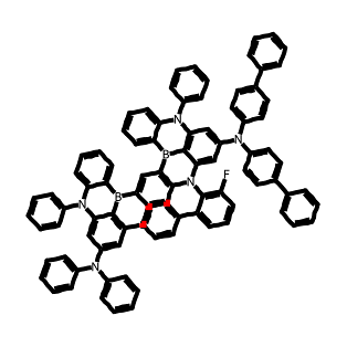 Fc1cccc(-c2ccccc2)c1N1c2cc3c(cc2B2c4ccccc4N(c4ccccc4)c4cc(N(c5ccc(-c6ccccc6)cc5)c5ccc(-c6ccccc6)cc5)cc1c42)B1c2ccccc2N(c2ccccc2)c2cc(N(c4ccccc4)c4ccccc4)cc(c21)S3